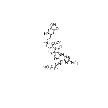 CC(C)(O/N=C(\C(=O)N[C@@H]1C(=O)N2C(C(=O)[O-])=C(C[N+](C)(C)CCc3cc(=O)c(O)c[nH]3)CS[C@H]12)c1nsc(N)n1)C(=O)O